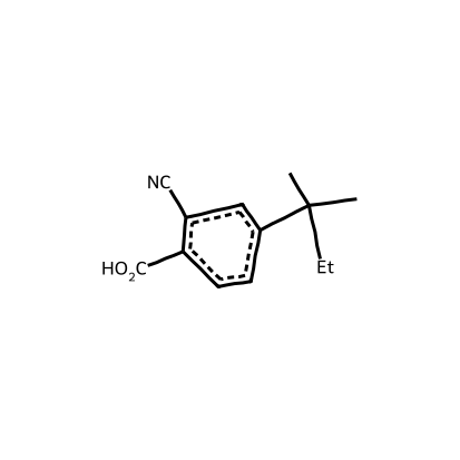 CCC(C)(C)c1ccc(C(=O)O)c(C#N)c1